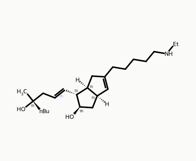 CCCC[C@](C)(O)C/C=C/[C@@H]1[C@H]2CC(CCCCCNCC)=C[C@H]2C[C@H]1O